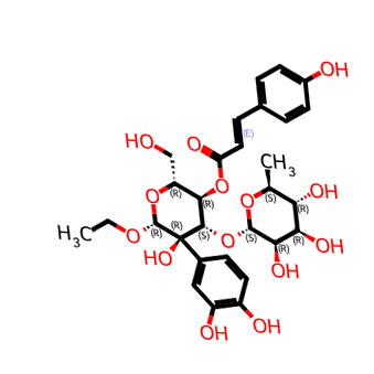 CCO[C@@H]1O[C@H](CO)[C@@H](OC(=O)/C=C/c2ccc(O)cc2)[C@H](O[C@@H]2O[C@@H](C)[C@H](O)[C@@H](O)[C@H]2O)[C@]1(O)c1ccc(O)c(O)c1